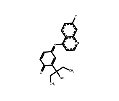 CCC(N)(CC)C1=C/C(=N\c2ccnc3cc(Cl)ccc23)C=CC1=O